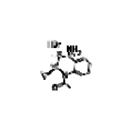 Br.CC(=O)N1c2ccccc2[C@H](N)[C@@H](C)[C@@H]1C1CC1